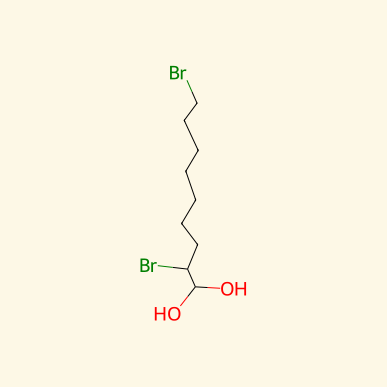 OC(O)C(Br)CCCCCCCBr